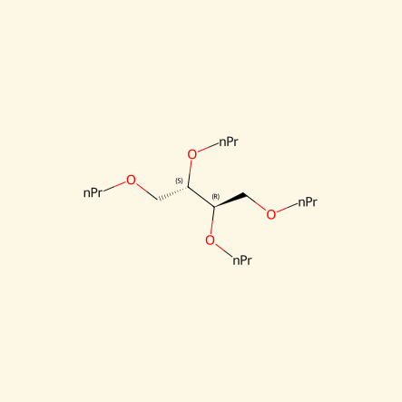 CCCOC[C@H](OCCC)[C@@H](COCCC)OCCC